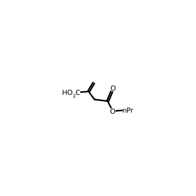 C=C(CC(=O)OCCC)C(=O)O